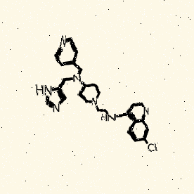 Clc1ccc2c(NCCN3CCC(N(Cc4ccncc4)Cc4cnc[nH]4)CC3)ccnc2c1